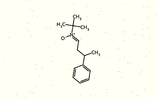 CC(CC=[N+]([O-])C(C)(C)C)c1ccccc1